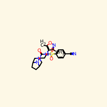 Cc1noc(C)c1NC(=O)N1CC2CCC(C1)N2CCCS(=O)(=O)c1ccc(C#N)cc1